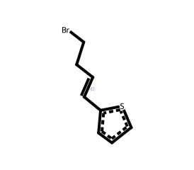 BrCC/C=C/c1cccs1